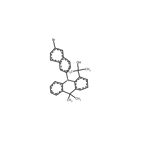 CC(C)(O)c1cccc2c1N(c1ccc3cc(Br)ccc3c1)c1ccccc1C2(C)C